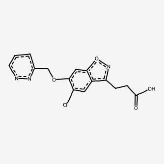 O=C(O)CCc1noc2cc(OCc3cccnn3)c(Cl)cc12